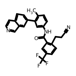 Cc1ccc(NC(=O)c2cc(C(F)(F)F)ccc2CCC#N)cc1-c1ccc2ccncc2c1